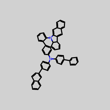 C1=CC2c3cc4ccccc4cc3N(c3ccccc3-c3ccc(N(c4ccc(-c5ccccc5)cc4)c4ccc(-c5ccc6ccccc6c5)cc4)cc3)C2C=C1